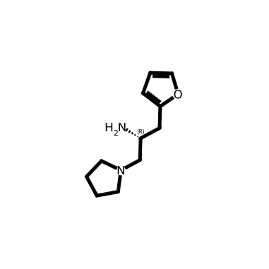 N[C@H](Cc1ccco1)CN1CCCC1